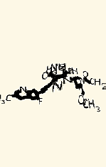 C=CC(=O)N1C[C@@H](n2nc(C#Cc3cc4ncc(C)cc4cc3F)c(C(N)=O)c2NC)C[C@@H]1COC